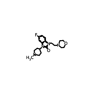 CN1CCC(n2c(=O)n(CCN3CCOCC3)c3ccc(F)cc32)CC1